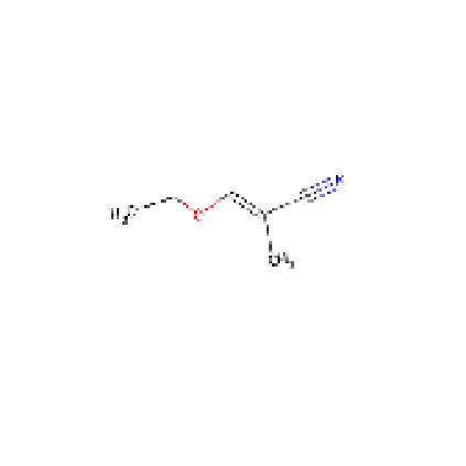 CCO/C=C(\C)C#N